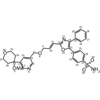 COC1(c2cncc(COC/C=C/c3nc(-c4ccccc4)c(-c4ccc(S(N)(=O)=O)cc4)o3)c2)CCOCC1